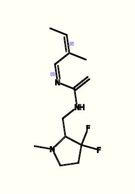 C=C(/N=C\C(C)=C/C)NCC1N(C)CCC1(F)F